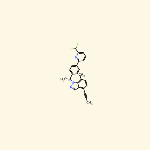 CC#Cc1ccc(C)c2c1cnn2[C@H](C)c1ccc(-c2cccc(C(F)F)n2)cc1